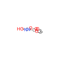 O=C(C[C@H]1CC[C@]2(CC1)OO[C@]1(O2)C2CC3CC4CC1CC34C2)N1CCN(CCO)CC1